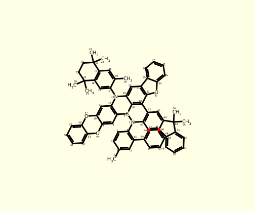 Cc1ccc(N2B3c4cc5c(cc4N(c4cc6c(cc4C)C(C)(C)CCC6(C)C)c4cc6c(oc7ccccc76)c(c43)-c3cc4c(cc32)-c2ccccc2C4(C)C)Oc2ccccc2O5)c(-c2ccccc2)c1